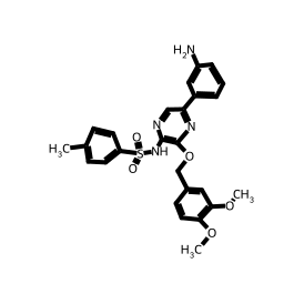 COc1ccc(COc2nc(-c3cccc(N)c3)cnc2NS(=O)(=O)c2ccc(C)cc2)cc1OC